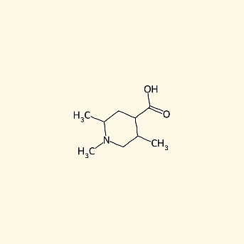 CC1CN(C)C(C)CC1C(=O)O